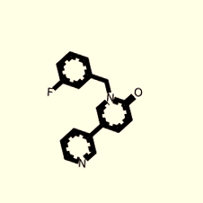 O=c1ccc(-c2cccnc2)cn1Cc1cccc(F)c1